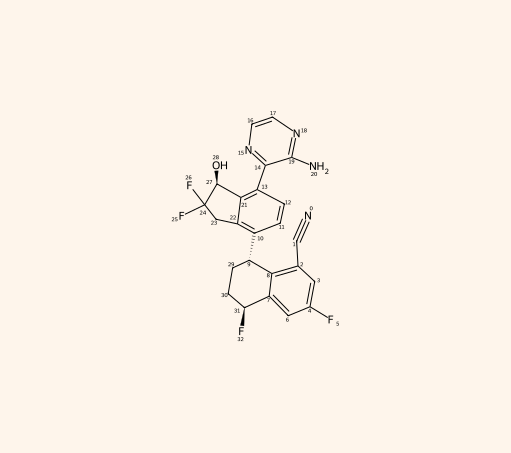 N#Cc1cc(F)cc2c1[C@@H](c1ccc(-c3nccnc3N)c3c1CC(F)(F)[C@H]3O)CC[C@@H]2F